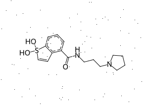 O=C(NCCCN1CCCC1)c1cccc2c1C=CS2(O)O